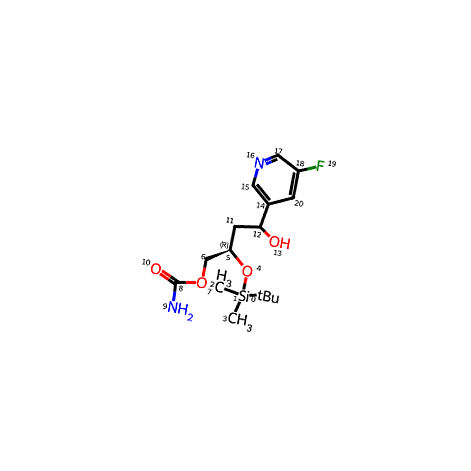 CC(C)(C)[Si](C)(C)O[C@@H](COC(N)=O)CC(O)c1cncc(F)c1